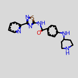 O=C(Nc1nc(-c2ccccn2)ns1)c1ccc(NC2CCNCC2)cc1